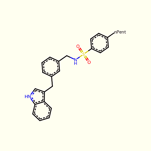 CCCCCc1ccc(S(=O)(=O)NCc2cccc(Cc3c[nH]c4ccccc34)c2)cc1